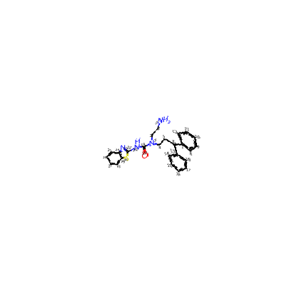 NCCN(CCC(c1ccccc1)c1ccccc1)C(=O)Nc1nc2ccccc2s1